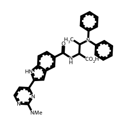 CNc1nccc(-c2cc3cc(C(=O)NC(C(=O)O)C(C)N(c4ccccc4)c4ccccc4)ccc3[nH]2)n1